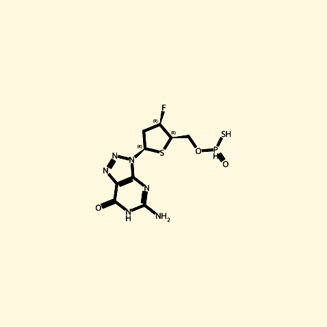 Nc1nc2c(nnn2[C@H]2C[C@@H](F)[C@@H](CO[PH](=O)S)S2)c(=O)[nH]1